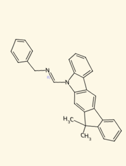 CC1(C)c2ccccc2-c2cc3c4ccccc4n(/C=N/Cc4ccccc4)c3cc21